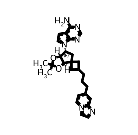 CC1(C)O[C@H]2[C@H](n3ccc4c(N)ncnc43)CC3(CC(CCCc4ccn5ccnc5c4)C3)[C@H]2O1